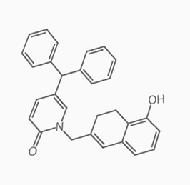 O=c1ccc(C(c2ccccc2)c2ccccc2)cn1CC1=Cc2cccc(O)c2CC1